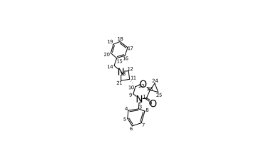 O=C1N(c2ccccc2)C[C@H](C2CN(Cc3ccccc3)C2)OC12CC2